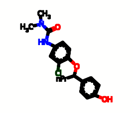 CCCC(Oc1ccc(NC(=O)N(C)C)cc1Cl)c1ccc(O)cc1